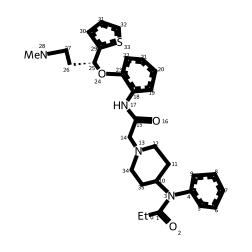 CCC(=O)N(c1ccccc1)C1CCN(CC(=O)Nc2ccccc2O[C@H](CCNC)c2cccs2)CC1